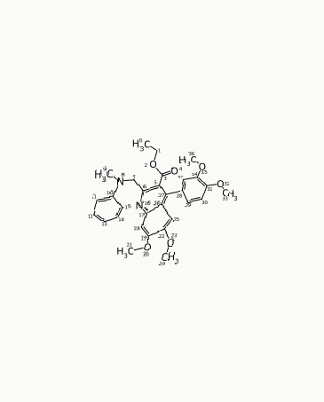 CCOC(=O)c1c(CN(C)c2ccccc2)nc2cc(OC)c(OC)cc2c1-c1ccc(OC)c(OC)c1